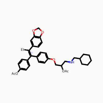 CC/C(=C(/c1ccc(OCC(CNCC2CCCCC2)OC(C)=O)cc1)c1ccc(OC(C)=O)cc1)c1ccc2c(c1)OCO2